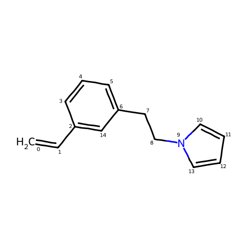 C=Cc1cccc(CCn2cccc2)c1